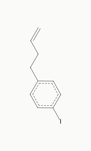 C=CCCc1ccc(I)cc1